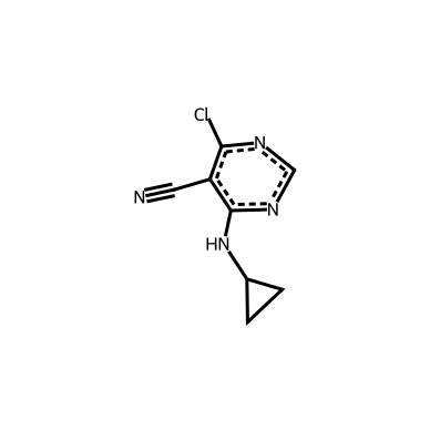 N#Cc1c(Cl)ncnc1NC1CC1